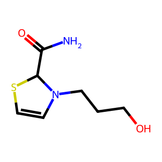 NC(=O)C1SC=CN1CCCO